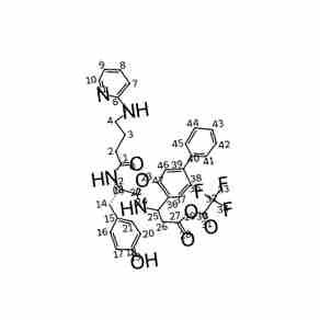 O=C(CCCNc1ccccn1)N[C@@H](Cc1ccc(O)cc1)C(=O)NC(CC(=O)OC(=O)C(F)(F)F)c1ccc(-c2ccccc2)cc1